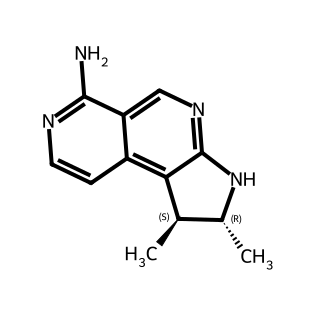 C[C@H]1Nc2ncc3c(N)nccc3c2[C@@H]1C